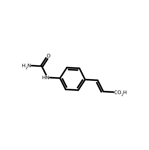 NC(=O)Nc1ccc(C=CC(=O)O)cc1